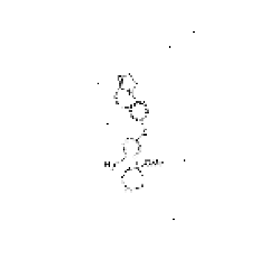 COC1(c2cc(Sc3ccc4c(c3)C=CC3=NCCN34)ccc2C)CCOCC1